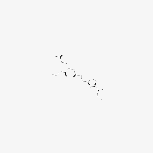 NC(=O)CC[C@H](NC(=O)NCc1nc([C@@H](N)CO)no1)C(=O)NCC(=O)O